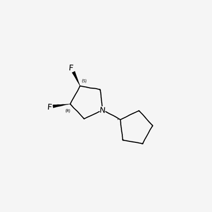 F[C@@H]1CN([C]2CCCC2)C[C@@H]1F